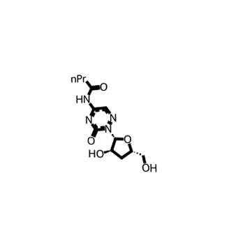 CCCC(=O)Nc1cnn([C@@H]2O[C@H](CO)C[C@H]2O)c(=O)n1